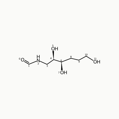 O=CNC[C@@H](O)[C@H](O)CCCO